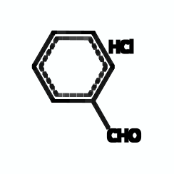 Cl.O=Cc1ccccc1